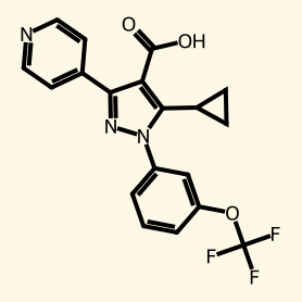 O=C(O)c1c(-c2ccncc2)nn(-c2cccc(OC(F)(F)F)c2)c1C1CC1